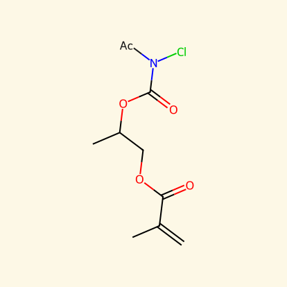 C=C(C)C(=O)OCC(C)OC(=O)N(Cl)C(C)=O